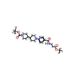 CC(C)(C)OC(=O)CCNC(=O)c1ccc(N2CCC(C3CCN(C(=O)OC(C)(C)C)CC3)CC2)nc1